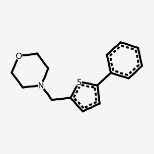 c1ccc(-c2ccc(CN3CCOCC3)s2)cc1